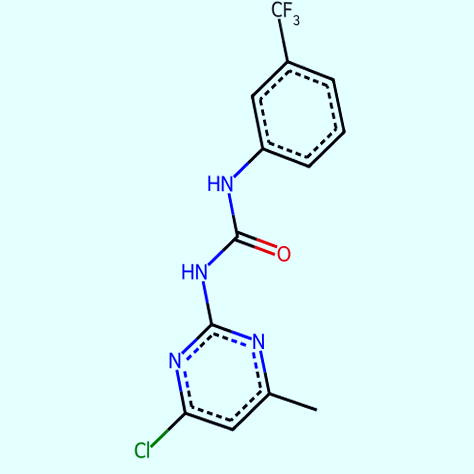 Cc1cc(Cl)nc(NC(=O)Nc2cccc(C(F)(F)F)c2)n1